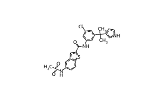 CC(C)(c1cc[nH]c1)c1cc(Cl)cc(NC(=O)c2cc3cc(NS(C)(=O)=O)ccc3s2)c1